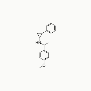 COc1ccc(C(C)NC2CC2c2ccccc2)cc1